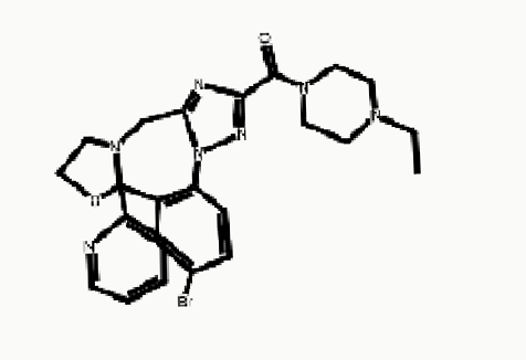 CCN1CCN(C(=O)c2nc3n(n2)-c2ccc(Br)cc2C2(c4ccccn4)OCCN2C3)CC1